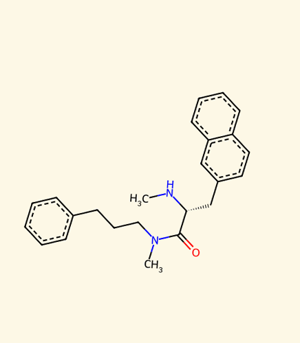 CN[C@H](Cc1ccc2ccccc2c1)C(=O)N(C)CCCc1ccccc1